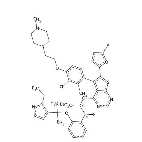 BC(B)(Oc1ccccc1[C@H](F)[C@@H](Oc1ncnc2sc(-c3ccc(F)o3)c(-c3ccc(OCCN4CCN(C)CC4)c(Cl)c3C)c12)C(=O)OCC)c1ccnn1CC(F)(F)F